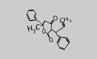 C=CC(c1ccccc1)C1C(=O)CC(C)(c2ccccc2)OC1=O